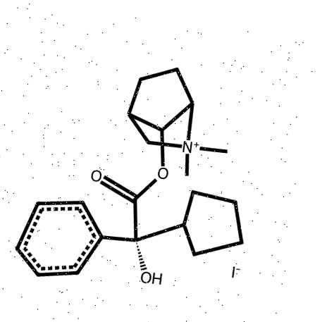 C[N+]1(C)CC2CCC1C2OC(=O)[C@](O)(c1ccccc1)C1CCCC1.[I-]